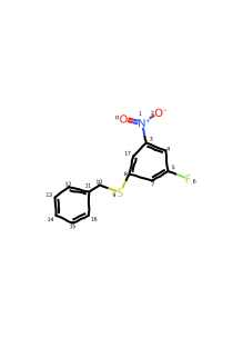 O=[N+]([O-])c1cc(F)cc(SCc2ccccc2)c1